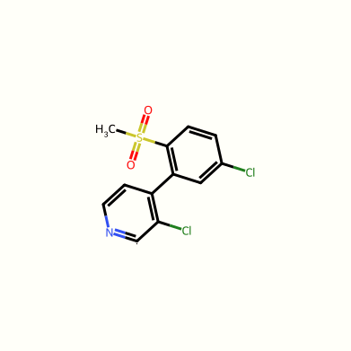 CS(=O)(=O)c1ccc(Cl)cc1-c1ccn[c]c1Cl